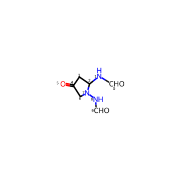 O=CNC1CC(=O)CN1NC=O